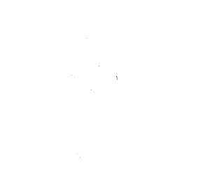 CC(C)N1CCN([C@H]2c3cc(C#N)ccc3OC(C)(C)[C@@H]2O)C1=NC#N